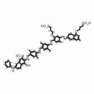 Cc1cc(OCCCS(=O)(=O)O)c2ccc(N=Nc3cc(OCCCS(=O)(=O)O)c(N=Nc4cc(C)c(N=Nc5cc(C)c(N=Nc6c(S(=O)(=O)O)cc7cc(Nc8ccccc8)ccc7c6O)cc5C)cc4C)cc3C)cc2c1